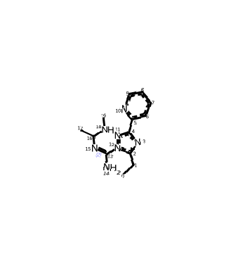 CCc1nc(-c2ccccn2)nn1/C(N)=N\C(C)NC